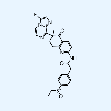 CC[S+]([O-])c1ccc(CC(=O)Nc2ccc3c(n2)CCC(C)(c2nccn4c(F)cnc24)C3=O)cc1